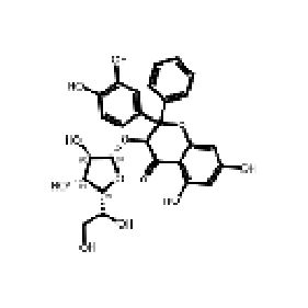 O=C1c2c(O)cc(O)cc2OC(c2ccccc2)(c2ccc(O)c(O)c2)C1O[C@@H]1O[C@H](C(O)CO)[C@H](O)[C@H]1O